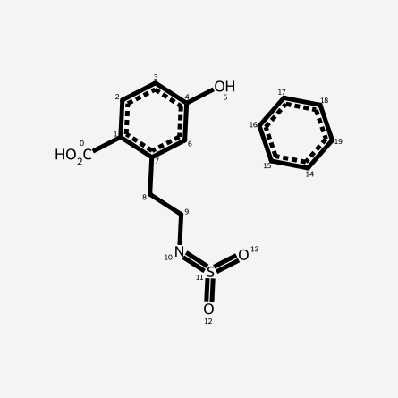 O=C(O)c1ccc(O)cc1CCN=S(=O)=O.c1ccccc1